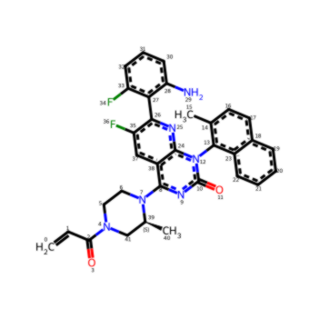 C=CC(=O)N1CCN(c2nc(=O)n(-c3c(C)ccc4ccccc34)c3nc(-c4c(N)cccc4F)c(F)cc23)[C@@H](C)C1